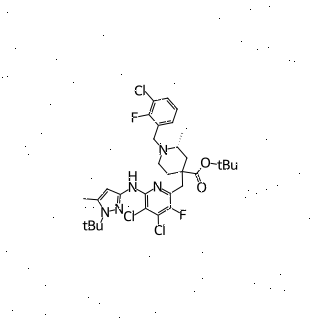 Cc1cc(Nc2nc(CC3(C(=O)OC(C)(C)C)CCN(Cc4cccc(Cl)c4F)[C@H](C)C3)c(F)c(Cl)c2Cl)nn1C(C)(C)C